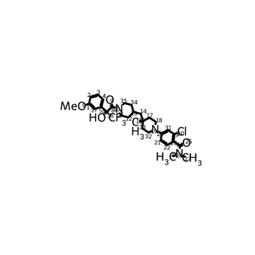 COc1cccc([C@@](O)(C(=O)N2CCC(CC3(C)CCN(c4ccc(C(=O)N(C)C)c(Cl)c4)CC3)CC2)C(F)(F)F)c1